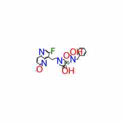 COc1ccc2ncc(F)c(CCN3C[C@H](CN(Cc4ccccc4)C(=O)O)[C@@H](O)C3)c2n1